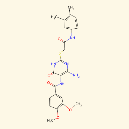 COc1ccc(C(=O)Nc2c(N)nc(SCC(=O)Nc3ccc(C)c(C)c3)[nH]c2=O)cc1OC